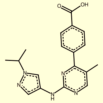 Cc1cnc(Nc2cnn(C(C)C)c2)nc1-c1ccc(C(=O)O)cc1